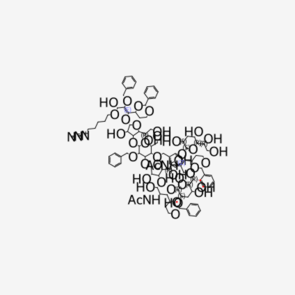 CC(=O)N/C(=C(\O[C@@H]1O[C@@H]([C@H](O)CO)C(O)C[C@@H]1O)C1CCOC(c2ccccc2)O1)C(O)O[C@H](CO)[C@@H]1O[C@@H](OC(C2CCOC(c3ccccc3)O2)C(NC(C)=O)C(O)OC2C(O)C(OC3C(OCc4ccccc4)C(CO)OC(OC4C(O)C(O/C(=C(/OCc5ccccc5)C(O)OCCCCCN=[N+]=[N-])C5CCOC(c6ccccc6)O5)OC4[C@H](O)CO)C3OCc3ccccc3)OC2[C@H](O)CO)[C@@H](O)CC1O